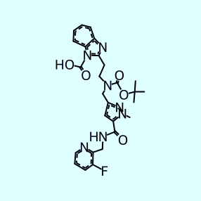 Cn1nc(CN(CCc2nc3ccccc3n2C(=O)O)C(=O)OC(C)(C)C)cc1C(=O)NCc1ncccc1F